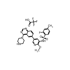 COc1ncc(-c2ccc3ncnc(N4CCNCC4)c3c2)cc1NS(=O)(=O)c1ccc(C)cc1F.O=C(O)C(F)(F)F